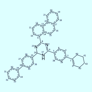 C1=C(c2ccc(C3=NC(c4cccc5c4ccc4ccccc45)=NC(c4ccc(-c5ccccc5)cc4)N3)cc2)CCCC1